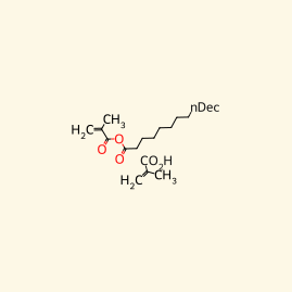 C=C(C)C(=O)O.C=C(C)C(=O)OC(=O)CCCCCCCCCCCCCCCCC